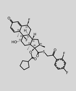 C[C@@H]1C[C@H]2[C@@H]3C[C@H](F)C4=CC(=O)C=C[C@]4(C)[C@@]3(F)[C@@H](O)C[C@]2(C)[C@@]1(OC(=O)C1CCCC1)C(=O)SCC(=O)c1ccc(F)cc1F